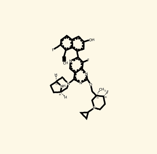 C#Cc1c(F)ccc2cc(O)cc(-c3ncc4c(N5C[C@H]6CC[C@@H](C5)N6)nc(OC[C@]5(C)CN(C6CC6)CC[C@H]5F)nc4c3F)c12